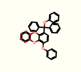 c1ccc(Oc2ccc(C(Oc3ccccc3)(c3ccccc3)c3ccccc3)c(Oc3ccccc3)c2Oc2ccccc2)cc1